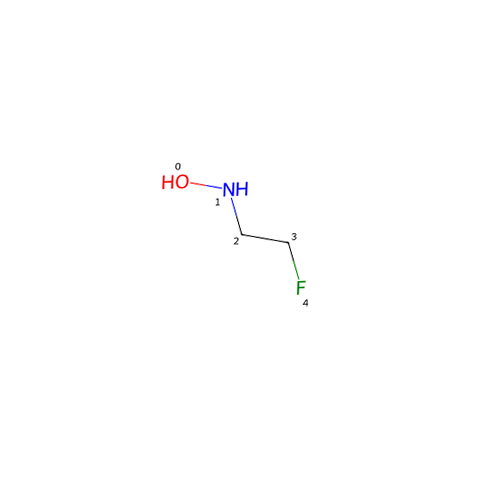 ONCCF